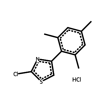 Cc1cc(C)c(-c2csc(Cl)n2)c(C)c1.Cl